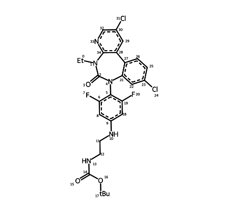 CCN1C(=O)N(c2c(F)cc(NCCNC(=O)OC(C)(C)C)cc2F)c2cc(Cl)ccc2-c2cc(Cl)cnc21